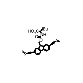 CCC(C)C(NC(=O)OCC1c2cc(C#CSI)ccc2-c2ccc(C#CSI)cc21)C(=O)O